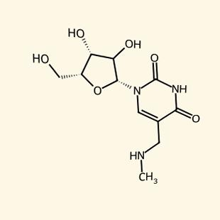 CNCc1cn([C@@H]2O[C@H](CO)[C@H](O)C2O)c(=O)[nH]c1=O